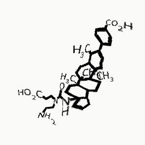 CC1C(c2ccc(C(=O)O)cc2)=CCC2(C)C1CCC1(C)C2CCC2C3CCCC3(NC(=O)N(CCN)CCC(=O)O)CC[C@]21C